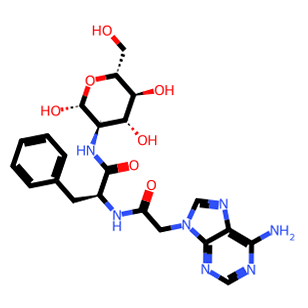 Nc1ncnc2c1ncn2CC(=O)N[C@@H](Cc1ccccc1)C(=O)N[C@@H]1[C@@H](O)[C@H](O)[C@@H](CO)O[C@H]1O